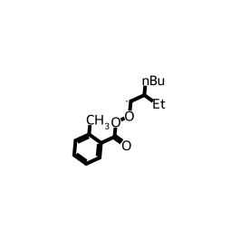 CCCCC([CH]OOC(=O)c1ccccc1C)CC